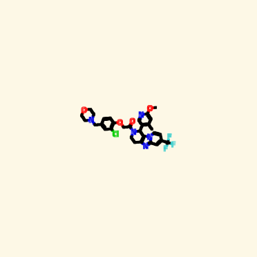 COc1cc(C)c(C2c3c(nc4cc(C(F)(F)F)ccn34)CCN2C(=O)COc2ccc(CN3CCOCC3)cc2Cl)cn1